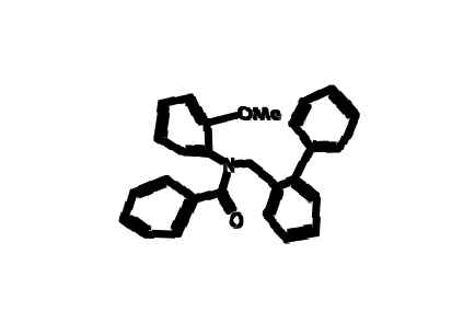 COc1ccccc1N(Cc1ccccc1-c1ccccc1)C(=O)c1ccccc1